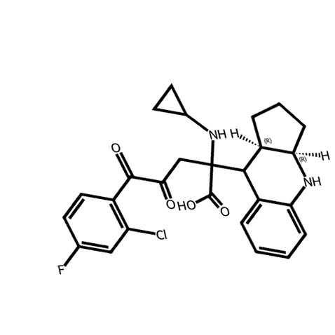 O=C(CC(NC1CC1)(C(=O)O)C1c2ccccc2N[C@@H]2CCC[C@H]12)C(=O)c1ccc(F)cc1Cl